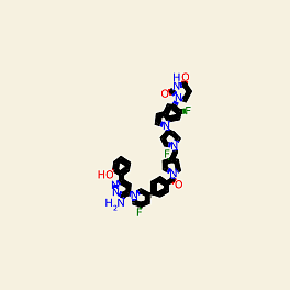 Nc1nnc(-c2ccccc2O)cc1N1C[C@H](F)C[C@H](c2ccc(C(=O)N3CCC(F)(CN4CCC(n5ccc6cc(N7CCC(=O)NC7=O)c(F)cc65)CC4)CC3)cc2)C1